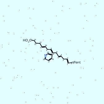 CCCCCC=CCC=CCC=CCC=CCCCC(=O)O.c1ccncc1